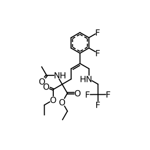 CCOC(=O)C(C/C=C(\CNCC(F)(F)F)c1cccc(F)c1F)(NC(C)=O)C(=O)OCC